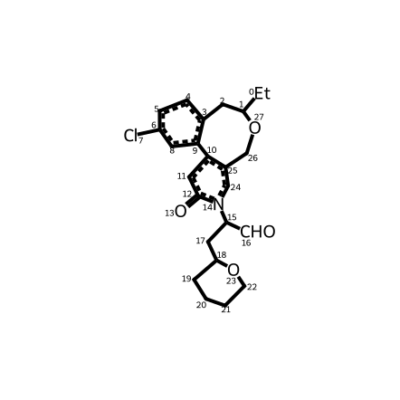 CCC1Cc2ccc(Cl)cc2-c2cc(=O)n(C(C=O)CC3CCCCO3)cc2CO1